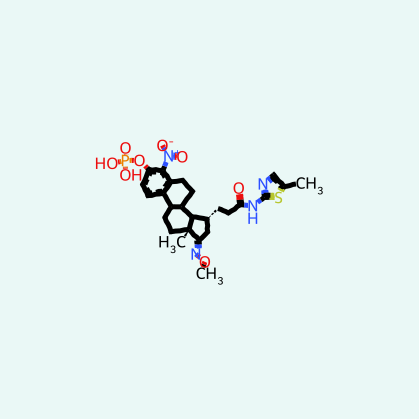 CO/N=C1\C[C@@H](CCC(=O)Nc2ncc(C)s2)C2C3CCc4c(ccc(OP(=O)(O)O)c4[N+](=O)[O-])C3CC[C@]12C